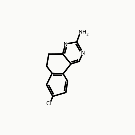 Nc1ncc2c(n1)CCc1cc(Cl)ccc1-2